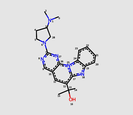 CN(C)C1CCN(c2ncc3cc(C(C)(C)O)c4nc5ccccc5n4c3n2)C1